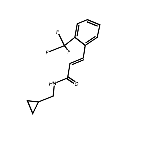 O=C(C=Cc1ccccc1C(F)(F)F)NCC1CC1